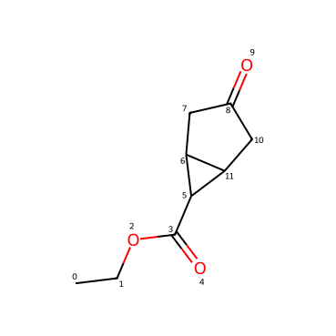 CCOC(=O)C1C2CC(=O)CC21